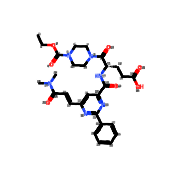 CCOC(=O)N1CCN(C(=O)[C@H](CCC(=O)O)NC(=O)c2cc(C=CC(=O)N(C)C)nc(-c3ccccc3)n2)CC1